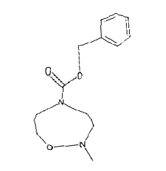 CN1CCN(C(=O)OCc2ccccc2)CCO1